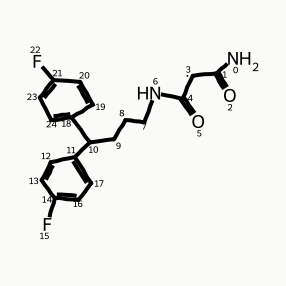 NC(=O)[CH]C(=O)NCCCC(c1ccc(F)cc1)c1ccc(F)cc1